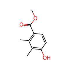 COC(=O)c1ccc(O)c(C)c1C